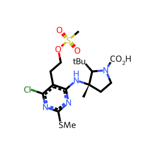 CSc1nc(Cl)c(CCOS(C)(=O)=O)c(N[C@@]2(C)CCN(C(=O)O)C2C(C)(C)C)n1